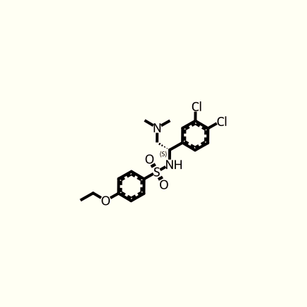 CCOc1ccc(S(=O)(=O)N[C@H](CN(C)C)c2ccc(Cl)c(Cl)c2)cc1